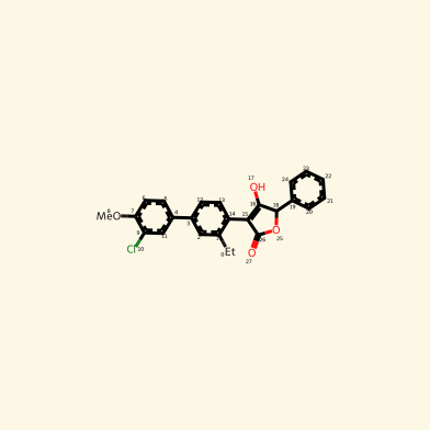 CCc1cc(-c2ccc(OC)c(Cl)c2)ccc1C1=C(O)C(c2ccccc2)OC1=O